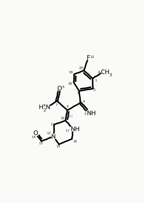 Cc1cc(C(=N)/C(C(N)=O)=C2/CN(C=O)CCN2)ccc1F